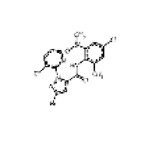 Cc1cc(Cl)cc([S+](C)[O-])c1NC(=O)c1cc(Br)nn1-c1ncccc1Cl